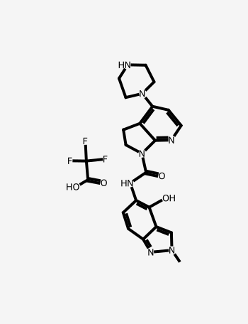 Cn1cc2c(O)c(NC(=O)N3CCc4c(N5CCNCC5)ccnc43)ccc2n1.O=C(O)C(F)(F)F